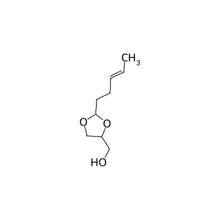 CC=CCCC1OCC(CO)O1